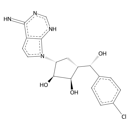 N=c1nc[nH]c2c1ccn2[C@@H]1C[C@H]([C@H](O)c2ccc(Cl)cc2)[C@@H](O)[C@H]1O